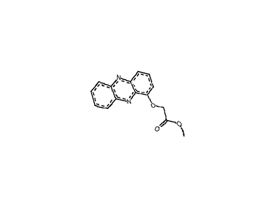 COC(=O)COc1cccc2nc3ccccc3nc12